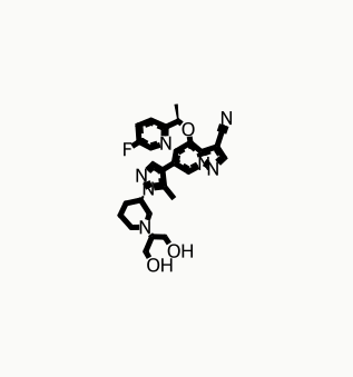 Cc1c(-c2cc(O[C@H](C)c3ccc(F)cn3)c3c(C#N)cnn3c2)cnn1[C@H]1CCCN(C(CO)CO)C1